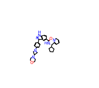 O=C(N[C@H](c1ccccn1)C1CCCC1)c1ccc2[nH]nc(-c3ccc(N4CC(N5CCOCC5)C4)cc3)c2c1